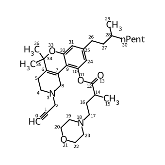 C#CCN1CCC2=C(C1)c1c(OC(=O)C(C)CCN3CCOCC3)cc(CCC(C)CCCCC)cc1OC2(C)C